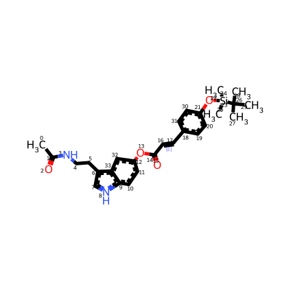 CC(=O)NCCc1c[nH]c2ccc(OC(=O)/C=C/c3ccc(O[Si](C)(C)C(C)(C)C)cc3)cc12